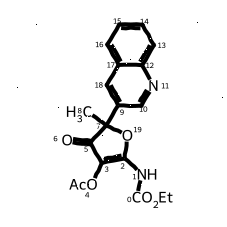 CCOC(=O)NC1=C(OC(C)=O)C(=O)C(C)(c2cnc3ccccc3c2)O1